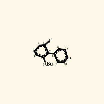 CC(C)(C)c1cccc(I)c1-c1ccccc1